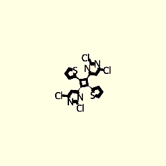 Clc1cc([C@H]2[C@H](c3cccs3)[C@H](c3cc(Cl)nc(Cl)n3)[C@H]2c2cccs2)nc(Cl)n1